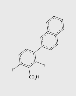 O=C(O)c1c(F)ccc(-c2ccc3ccccc3c2)c1F